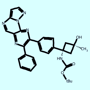 CC(C)(C)OC(=O)N[C@]1(c2ccc(-c3nc4c(cnc5ccnn54)nc3-c3ccccc3)cc2)C[C@@](C)(O)C1